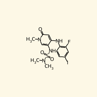 CN(C)S(=O)(=O)Nc1cn(C)c(=O)cc1Nc1ccc(I)cc1F